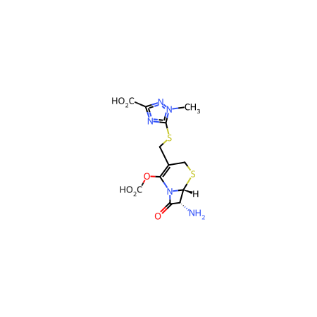 Cn1nc(C(=O)O)nc1SCC1=C(OC(=O)O)N2C(=O)[C@@H](N)[C@H]2SC1